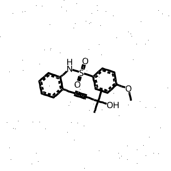 COc1ccc(S(=O)(=O)Nc2ccccc2C#CC(C)(C)O)cc1